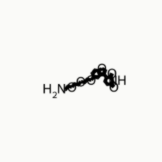 NCCOCCOCCOc1ccc2occ(C3CCC(=O)NC3=O)c2c1